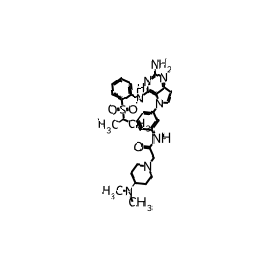 CC(C)S(=O)(=O)c1ccccc1Nc1nc(N)nc2ccn(-c3cccc(NC(=O)CN4CCC(N(C)C)CC4)c3)c12